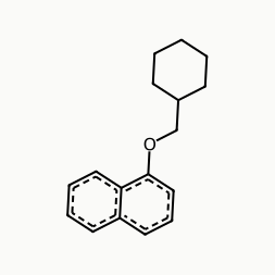 c1ccc2c(OCC3CCCCC3)cccc2c1